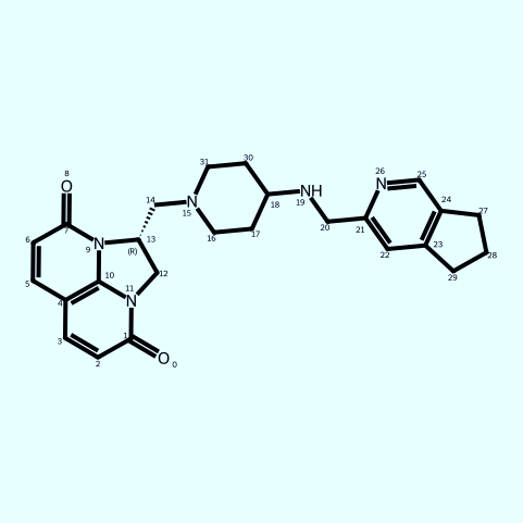 O=c1ccc2ccc(=O)n3c2n1C[C@H]3CN1CCC(NCc2cc3c(cn2)CCC3)CC1